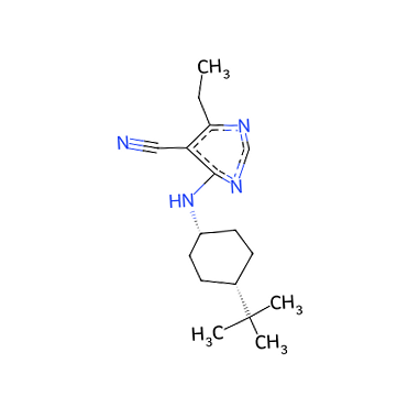 CCc1ncnc(N[C@H]2CC[C@@H](C(C)(C)C)CC2)c1C#N